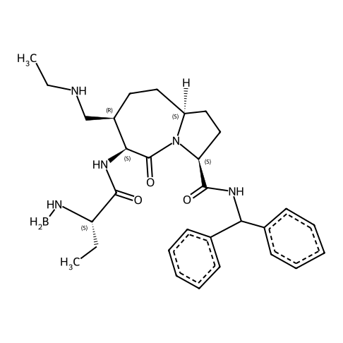 BN[C@@H](CC)C(=O)N[C@@H]1C(=O)N2[C@@H](CC[C@@H]1CNCC)CC[C@H]2C(=O)NC(c1ccccc1)c1ccccc1